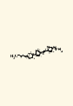 CCCCCC1CCC(c2ccc(C#Cc3ccc(CC)cn3)cc2)CC1